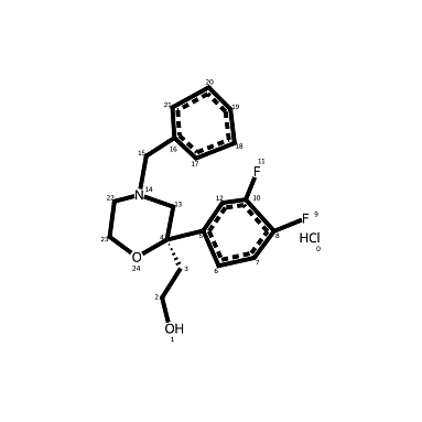 Cl.OCC[C@@]1(c2ccc(F)c(F)c2)CN(Cc2ccccc2)CCO1